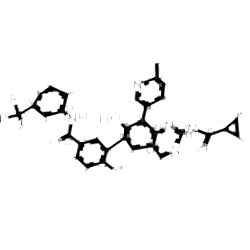 Cc1ccc(-c2c(O)c(-c3cc(C(=O)Nc4cccc(C(F)(F)F)c4)ccc3C)cc3cnc(NC(=O)C4CC4)nc23)cn1